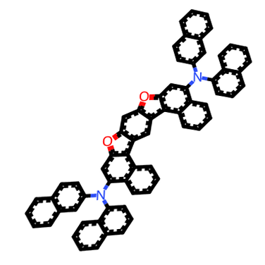 c1ccc2cc(N(c3cccc4ccccc34)c3cc4oc5cc6oc7cc(N(c8ccc9ccccc9c8)c8cccc9ccccc89)c8ccccc8c7c6cc5c4c4ccccc34)ccc2c1